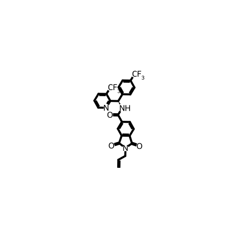 C=CCN1C(=O)c2ccc(C(=O)N[C@@H](c3ccc(C(F)(F)F)cc3)c3ncccc3C(F)(F)F)cc2C1=O